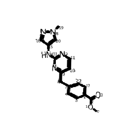 COC(=O)c1ccc(Cc2ccnc(Nc3cnn(C)c3)n2)cc1